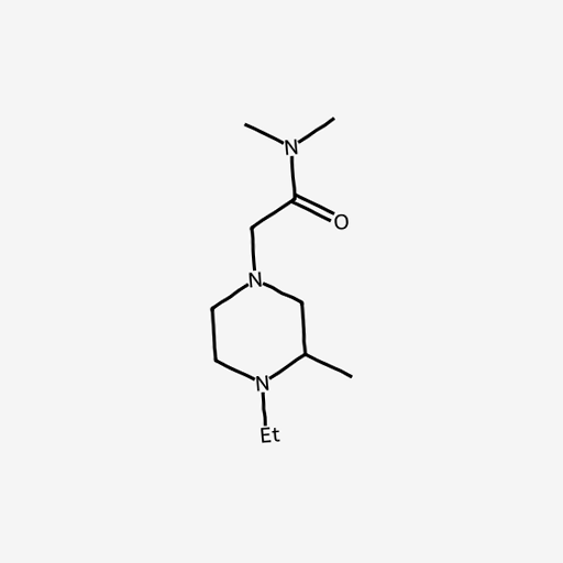 CCN1CCN(CC(=O)N(C)C)CC1C